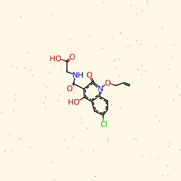 C=CCOn1c(=O)c(C(=O)NCC(=O)O)c(O)c2cc(Cl)ccc21